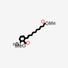 CCCCC1CC=CC(/C=C/CCCCCCCC(=O)OC)C1C(=O)OC